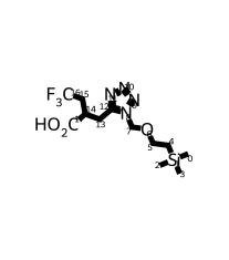 C[Si](C)(C)CCOCn1nnnc1CC(CC(F)(F)F)C(=O)O